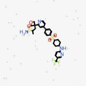 CC(CC1(c2cc(-c3ccc(S(=O)(=O)C4CCC(Nc5ccc(C(F)(F)F)cn5)CC4)cc3)ccn2)COC1)[S+](N)[O-]